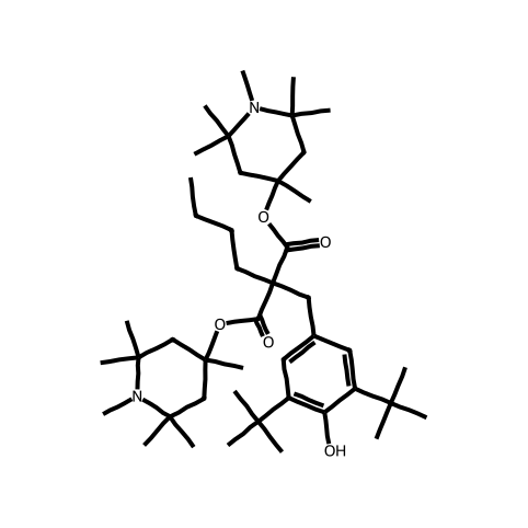 CCCCC(Cc1cc(C(C)(C)C)c(O)c(C(C)(C)C)c1)(C(=O)OC1(C)CC(C)(C)N(C)C(C)(C)C1)C(=O)OC1(C)CC(C)(C)N(C)C(C)(C)C1